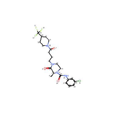 C[C@H]1C(=O)N(CCCC(=O)N2CCC(C(F)(F)F)CC2)CCN1C(=O)Nc1cccc(Cl)c1